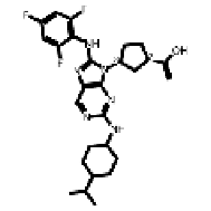 C=C(O)[C@@H]1CC[C@H](n2c(Nc3c(F)cc(F)cc3F)nc3cnc(NC4CCC(C(C)C)CC4)nc32)C1